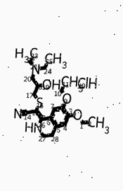 CCOc1cc2c(cc1OCC)C(=C(C#N)SCC(O)CN(CC)CC)NCC2.Cl